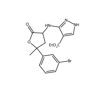 CCOC(=O)c1c[nH]nc1NC1CC(C)(c2cccc(Br)c2)OC1=O